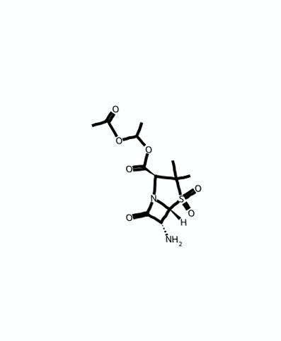 CC(=O)OC(C)OC(=O)[C@@H]1N2C(=O)[C@@H](N)[C@H]2S(=O)(=O)C1(C)C